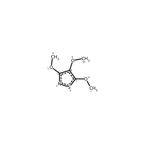 COc1nsc(OC)c1OC